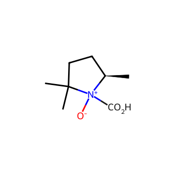 C[C@@H]1CCC(C)(C)[N+]1([O-])C(=O)O